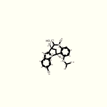 O=C(O)C1[C@@H]2C[C@@H](c3c(OC(F)F)cccc3[S+]1[O-])n1c2nc2ccc(Cl)cc21